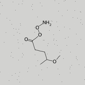 COC(C)CCC(=O)OON